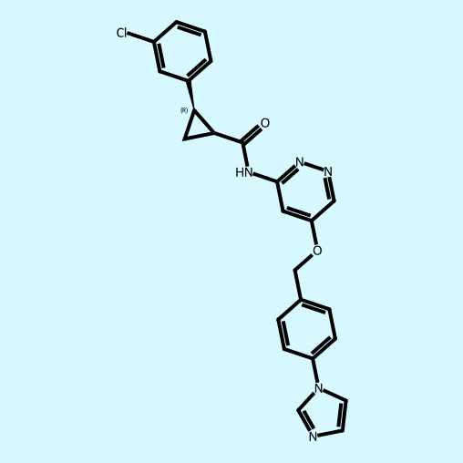 O=C(Nc1cc(OCc2ccc(-n3ccnc3)cc2)cnn1)C1C[C@H]1c1cccc(Cl)c1